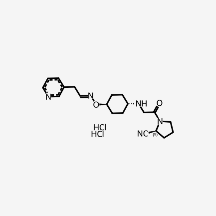 Cl.Cl.N#C[C@@H]1CCCN1C(=O)CN[C@H]1CC[C@H](ON=CCc2cccnc2)CC1